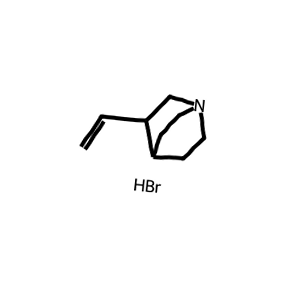 Br.C=CC1CN2CCC1CC2